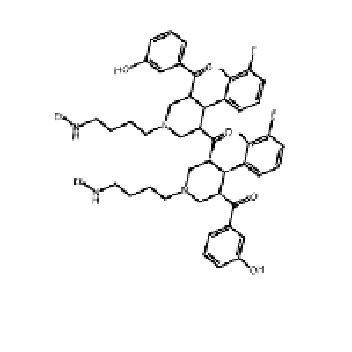 CCNCCCCN1CC(C(=O)c2cccc(O)c2)C(c2cccc(F)c2C)C(C(=O)[C@@H]2CN(CCCCNCC)C[C@H](C(=O)c3cccc(O)c3)[C@@H]2c2cccc(F)c2C)C1